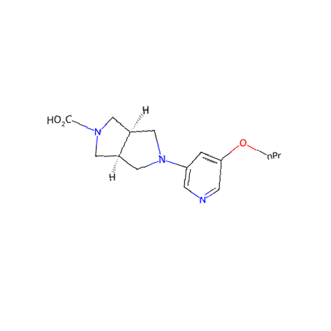 CCCOc1cncc(N2C[C@H]3CN(C(=O)O)C[C@H]3C2)c1